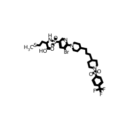 CSCCC(NS(=O)(=O)c1cnc(N2CCC(CCCC3CCN(S(=O)(=O)c4ccc(C(F)(F)F)cc4)CC3)CC2)c(Br)c1)C(=O)O